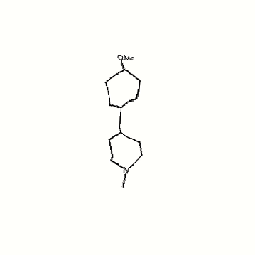 COC1CCC(C2CCN(C)CC2)CC1